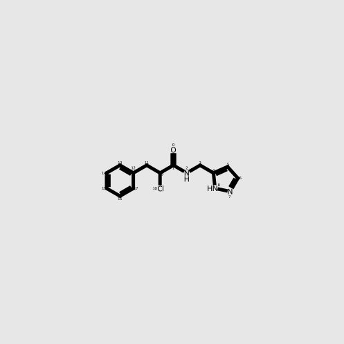 O=C(NCc1ccn[nH]1)C(Cl)Cc1ccccc1